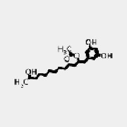 CC(=O)OC(CCCCCCCCCC(C)O)Cc1cc(O)cc(O)c1